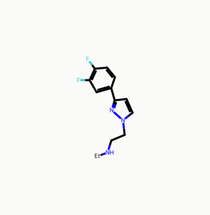 CCNCCn1ccc(-c2ccc(F)c(F)c2)n1